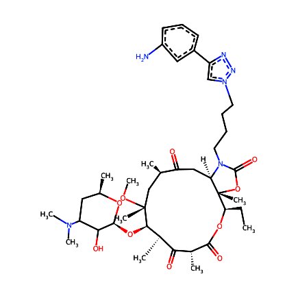 CC[C@H]1OC(=O)[C@H](C)C(=O)[C@H](C)[C@@H](O[C@@H]2O[C@H](C)CC(N(C)C)C2O)[C@](C)(OC)C[C@@H](C)C(=O)C[C@H]2N(CCCCn3cc(-c4cccc(N)c4)nn3)C(=O)O[C@]12C